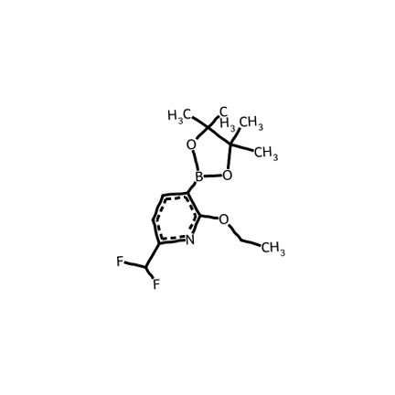 CCOc1nc(C(F)F)ccc1B1OC(C)(C)C(C)(C)O1